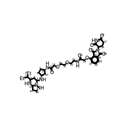 CCC(CC)C1CC(N[C@H]2CC[C@H](NC(=O)COCCOCCNC(=O)COc3cccc4c3C(=O)N(C3CCC(=O)NC3=O)C4=O)C2)N2NCCC2N1